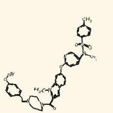 CCCOc1ccc(CN2CCN(C(=O)c3cc4ccc(Oc5ccc(N(C)S(=O)(=O)c6ccc(C)cc6)cn5)cc4n3C)CC2)cc1